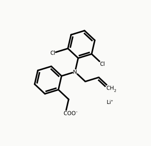 C=CCN(c1ccccc1CC(=O)[O-])c1c(Cl)cccc1Cl.[Li+]